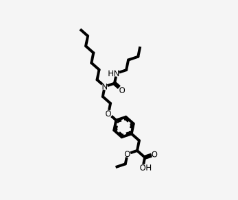 CCCCCCCN(CCOc1ccc(CC(OCC)C(=O)O)cc1)C(=O)NCCCC